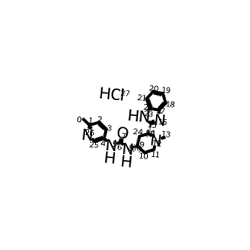 Cc1ccc(NC(=O)N[C@@H]2CCN(C)[C@@H](c3nc4ccccc4[nH]3)C2)cn1.Cl